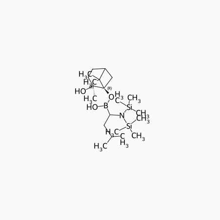 CC(C)CC(B(O)O[C@@]12CC(CC[C@]1(C)O)C2(C)C)N([Si](C)(C)C)[Si](C)(C)C